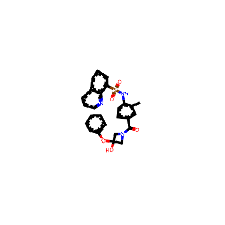 Cc1cc(C(=O)N2CC(O)(Oc3ccccc3)C2)ccc1NS(=O)(=O)c1cccc2cccnc12